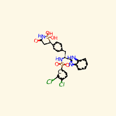 O=C1CC(c2ccc(C[C@H](NS(=O)(=O)c3ccc(Cl)c(Cl)c3)c3nc4ccccc4[nH]3)cc2)S(O)(O)N1